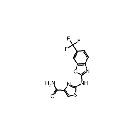 NC(=O)c1csc(Nc2nc3ccc(C(F)(F)F)cc3o2)n1